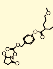 CCC(CCCOC)C(=O)Oc1ccc(COC(=O)ON2C(=O)CCC2=O)cc1